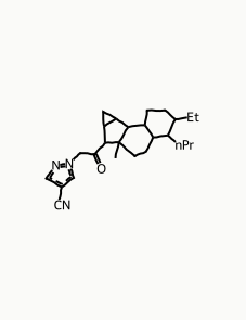 CCCC1C(CC)CCC2C1CCC1(C)C(C(=O)Cn3cc(C#N)cn3)C3CC3C21